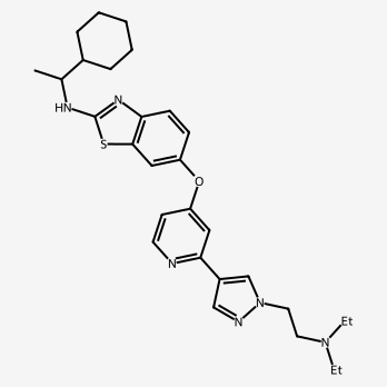 CCN(CC)CCn1cc(-c2cc(Oc3ccc4nc(NC(C)C5CCCCC5)sc4c3)ccn2)cn1